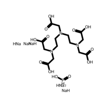 O=C(O)CN(CCN(CC(=O)O)CC(=O)O)CCN(CC(=O)O)CC(=O)O.O=[PH2]O.[NaH].[NaH].[NaH].[NaH].[NaH]